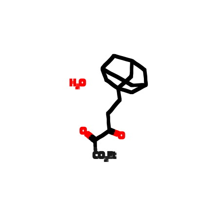 CCOC(=O)C(=O)C(=O)CCC12CC3CC(CC(C3)C1)C2.O